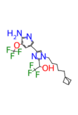 Nc1ncc(-c2cn(CCCCCC34CC(C3)C4)c(C(O)C(F)(F)F)n2)cc1OC(F)(F)F